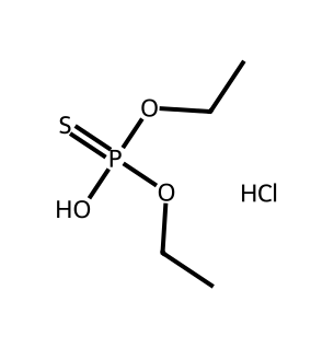 CCOP(O)(=S)OCC.Cl